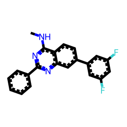 CNc1nc(-c2ccccc2)nc2cc(-c3cc(F)cc(F)c3)ccc12